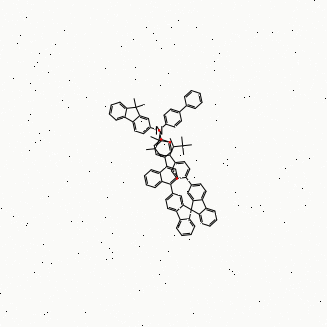 CC(CC(c1ccc(-c2ccc3c(c2)C2(c4ccccc4-3)c3ccccc3-c3ccc(-c4ccc(-c5ccc(N(c6ccc(-c7ccccc7)cc6)c6ccc7c(c6)C(C)(C)c6ccccc6-7)cc5)c5ccccc45)cc32)cc1)C(C)C(C)(C)C)C(C)(C)C